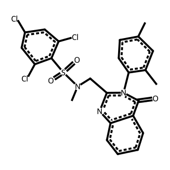 Cc1ccc(-n2c(CN(C)S(=O)(=O)c3c(Cl)cc(Cl)cc3Cl)nc3ccccc3c2=O)c(C)c1